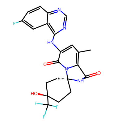 Cc1cc(Nc2ncnc3ccc(F)cc23)c(=O)n2c1C(=O)N[C@]21CC[C@@](O)(C(F)(F)F)CC1